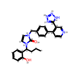 CCCC(c1ccccc1O)n1ccn(Cc2ccc(-c3ccncc3-c3nnn[nH]3)cc2)c1=O